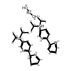 CC(C)[SiH](c1ccc(-c2ccccn2)nc1)C(C)C.CC(C)[SiH](c1ccc(-c2ccccn2)nc1)C(C)C.[OH][Ru][OH]